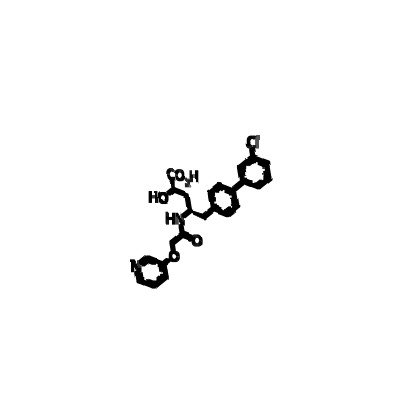 O=C(COc1cccnc1)N[C@H](Cc1ccc(-c2cccc(Cl)c2)cc1)C[C@@H](O)C(=O)O